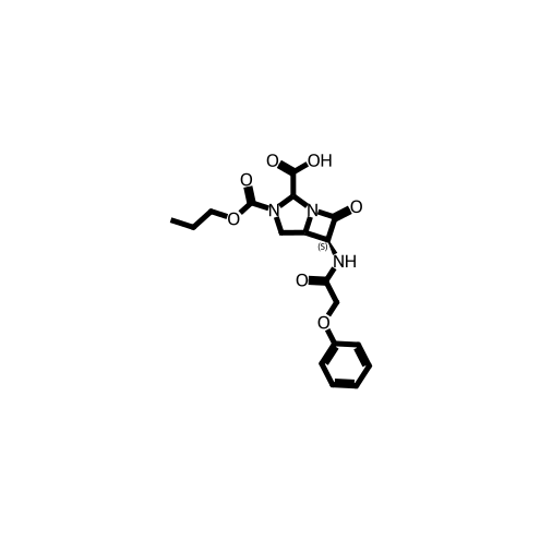 CCCOC(=O)N1CC2[C@H](NC(=O)COc3ccccc3)C(=O)N2C1C(=O)O